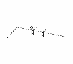 CCCCCCCC/C=C\CCCCCCCC(=O)N[C@@H](CCCCNC(=O)CCCCCCCCCCCCC)C(C)C